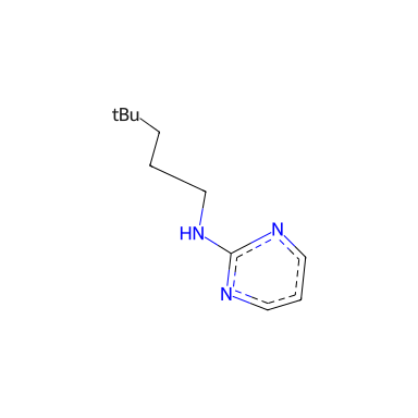 CC(C)(C)CCCNc1ncccn1